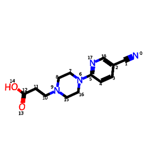 N#Cc1ccc(N2CCN(CCC(=O)O)CC2)nc1